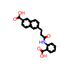 O=C(CCc1ccc2cc(C(=O)O)ccc2c1)Nc1ccccc1C(=O)O